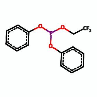 FC(F)(F)COP(Oc1ccccc1)Oc1ccccc1